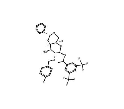 C[C@@H](O[C@@H]1O[C@@H]2CO[C@@H](c3ccccc3)O[C@@H]2[C@H](O)[C@H]1OCc1ccc(F)cc1)c1cc(C(F)(F)F)cc(C(F)(F)F)c1